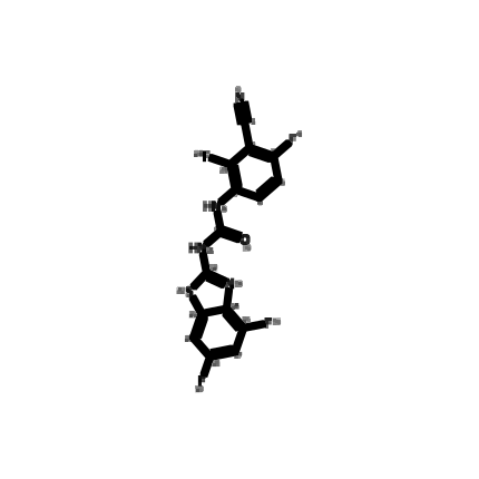 N#Cc1c(F)ccc(NC(=O)Nc2nc3c(F)cc(F)cc3s2)c1F